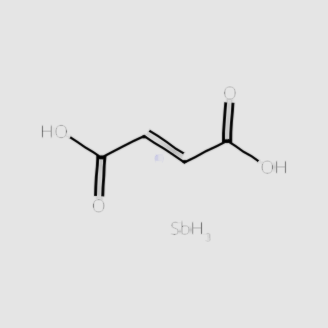 O=C(O)/C=C/C(=O)O.[SbH3]